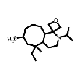 BC1CCCC2C(CCN(C(C)C)C23COC3)C(C)(CC)C1